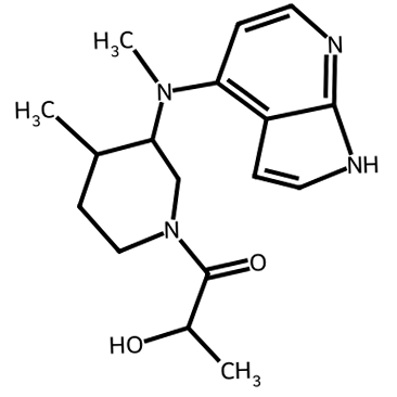 CC(O)C(=O)N1CCC(C)C(N(C)c2ccnc3[nH]ccc23)C1